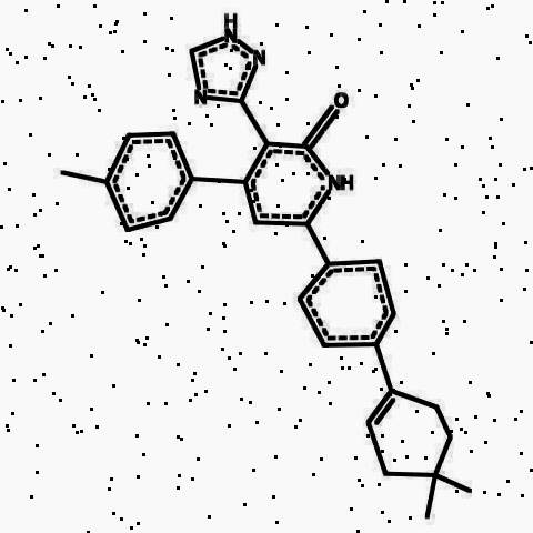 Cc1ccc(-c2cc(-c3ccc(C4=CCC(C)(C)CC4)cc3)[nH]c(=O)c2-c2nc[nH]n2)cc1